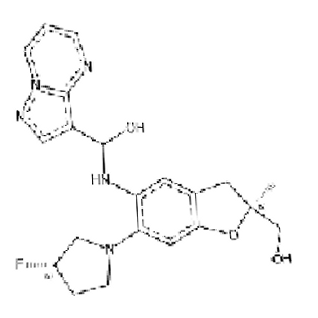 C[C@@]1(CO)Cc2cc(NC(O)c3cnn4cccnc34)c(N3CC[C@H](F)C3)cc2O1